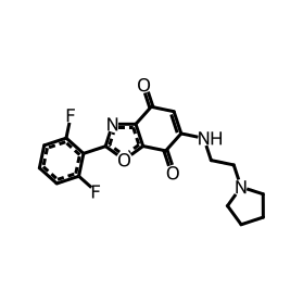 O=C1C=C(NCCN2CCCC2)C(=O)c2oc(-c3c(F)cccc3F)nc21